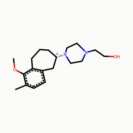 COc1c(C)ccc2c1CCC[C@H](N1CCN(CCO)CC1)C2